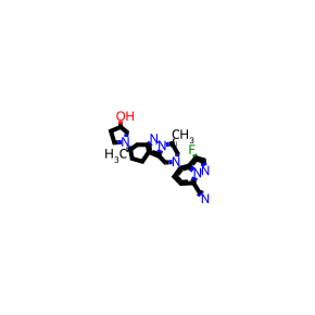 C[C@@H]1CN(c2ccc(C#N)n3ncc(F)c23)Cc2c3c(nn21)C[C@](C)(N1CCC(O)C1)CC3